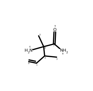 C=CC(C)C(C)(N)C(N)=O